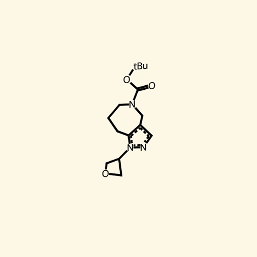 CC(C)(C)OC(=O)N1CCCc2c(cnn2C2COC2)C1